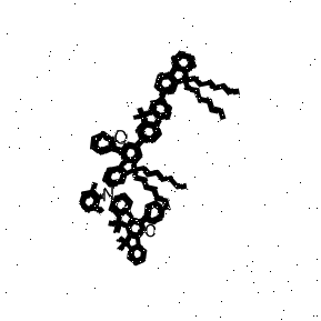 CCCCCCCC1(CCCCCCC)c2ccccc2-c2ccc(-c3ccc4c(c3)C(C)(C)c3cc(-c5cc6c(c7c5oc5ccccc57)-c5ccc(N(c7ccc8c(c7)C(C)(C)c7c9c(c%10oc%11ccccc%11c%10c7-8)-c7ccccc7C9(C)C)c7c(C)cccc7C)cc5C6(CCCCCCC)CCCCCCC)ccc3-4)cc21